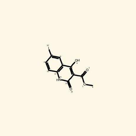 COC(=O)c1c(O)c2cc(I)ccc2[nH]c1=O